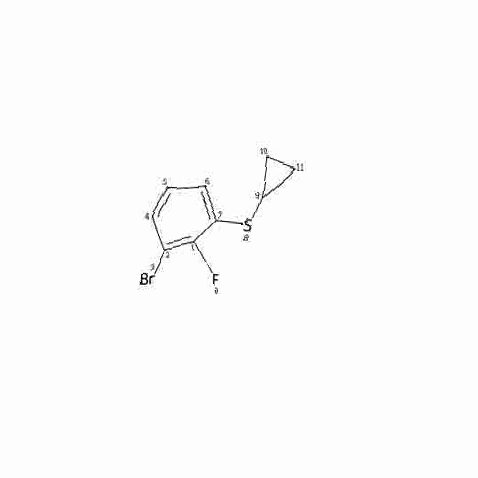 Fc1c(Br)cccc1SC1CC1